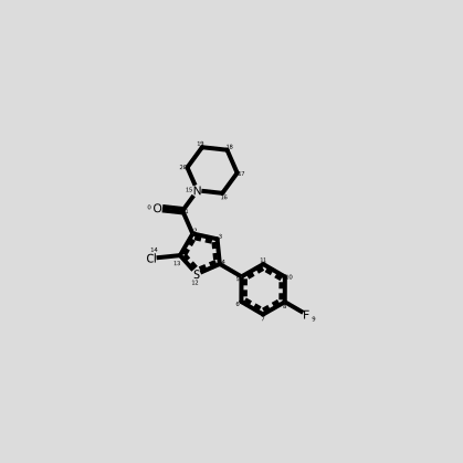 O=C(c1cc(-c2ccc(F)cc2)sc1Cl)N1CCCCC1